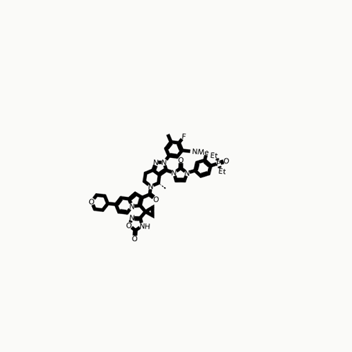 CCP(=O)(CC)c1ccc(-n2ccn(-c3c4c(nn3-c3cc(C)c(F)c(C)c3)CCN(C(=O)c3cc5cc(C6CCOCC6)ccn5c3C3(c5noc(=O)[nH]5)CC3)[C@H]4C)c2=O)cc1NC